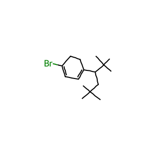 CC(C)(C)CC(C1=CC=C(Br)CC1)C(C)(C)C